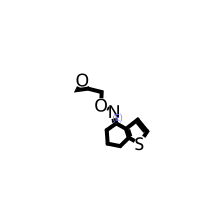 c1cc2c(s1)CCC/C2=N\OCC1CO1